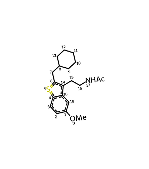 COc1ccc2sc(CC3CCCCC3)c(CCNC(C)=O)c2c1